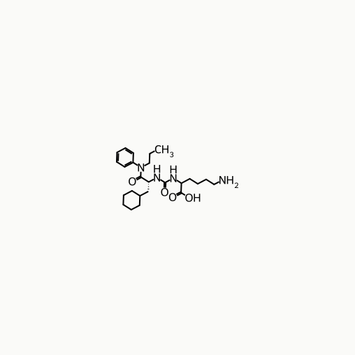 CCCN(C(=O)[C@@H](CC1CCCCC1)NC(=O)NC(CCCCN)C(=O)O)c1ccccc1